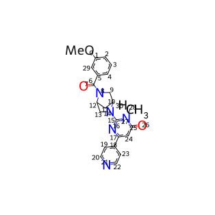 COc1cccc(C(=O)N2C[C@@H]3CC2CN3c2nc(-c3ccncc3)cc(=O)n2C)c1